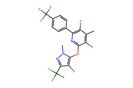 Cc1c(F)c(Oc2c(F)c(C(F)(F)F)nn2C)nc(-c2ccc(C(F)(F)F)cc2)c1F